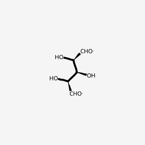 O=[C][C@@H](O)[C@H](O)[C@@H](O)[C]=O